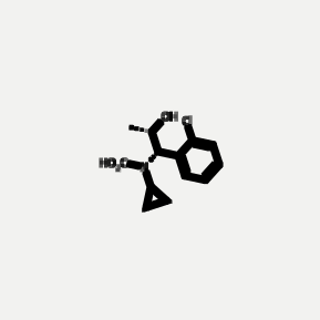 C[C@H](O)[C@H](c1ccccc1Cl)N(C(=O)O)C1CC1